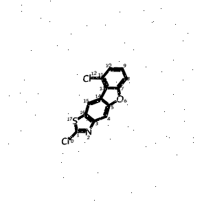 Clc1nc2cc3oc4cccc(Cl)c4c3cc2s1